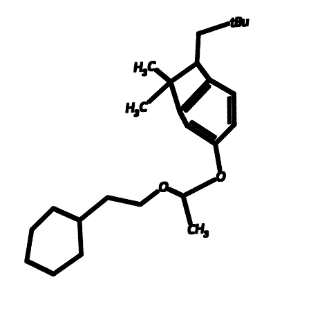 CC(OCCC1CCCCC1)Oc1ccc2c(c1)C(C)(C)C2CC(C)(C)C